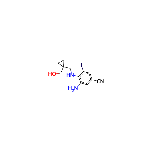 N#Cc1cc(N)c(NCC2(CO)CC2)c(I)c1